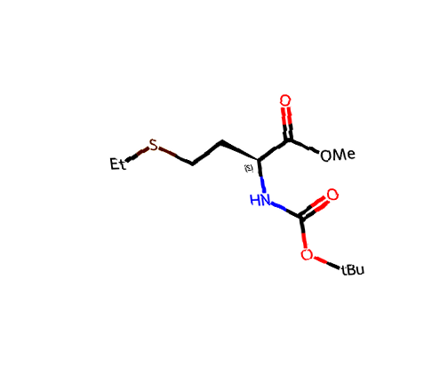 CCSCC[C@H](NC(=O)OC(C)(C)C)C(=O)OC